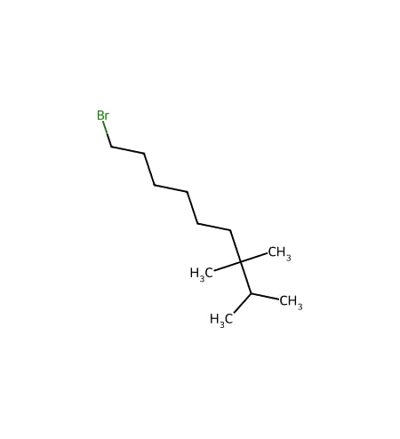 CC(C)C(C)(C)CCCCCCBr